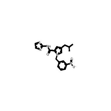 CC(C)Cc1cc(C(=O)Nc2nccs2)n(Cc2cccc([N+](=O)[O-])c2)c1